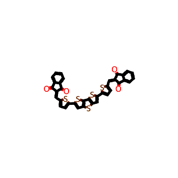 O=C1C(=Cc2ccc(-c3cc4sc5cc(-c6ccc(C=C7C(=O)c8ccccc8C7=O)s6)sc5c4s3)s2)C(=O)c2ccccc21